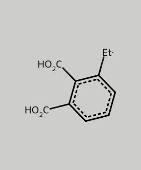 C[CH]c1cccc(C(=O)O)c1C(=O)O